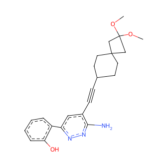 COC1(OC)CC2(CCC(C#Cc3cc(-c4ccccc4O)nnc3N)CC2)C1